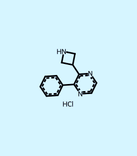 Cl.c1ccc(-c2nccnc2C2CNC2)cc1